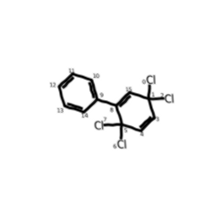 ClC1(Cl)C=CC(Cl)(Cl)C(c2ccccc2)=C1